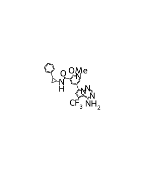 COc1ncc(-c2cc(C(F)(F)F)c3c(N)ncnn23)cc1C(=O)NC1CC1c1ccccc1